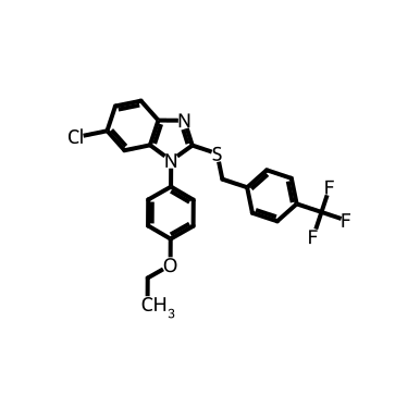 CCOc1ccc(-n2c(SCc3ccc(C(F)(F)F)cc3)nc3ccc(Cl)cc32)cc1